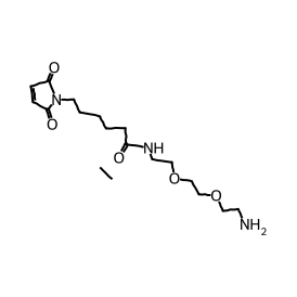 CC.NCCOCCOCCNC(=O)CCCCCN1C(=O)C=CC1=O